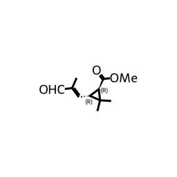 COC(=O)[C@@H]1[C@@H](C=C(C)C=O)C1(C)C